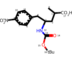 CC(CC(Cc1ccc([N+](=O)[O-])cc1)NC(=O)OC(C)(C)C)C(=O)O